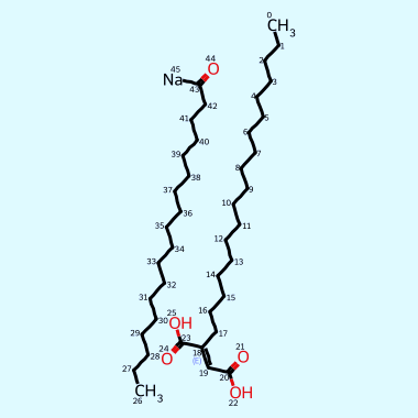 CCCCCCCCCCCCCCCCCC/C(=C\C(=O)O)C(=O)O.CCCCCCCCCCCCCCCCC[C](=O)[Na]